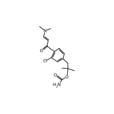 CN(C)C=CC(=O)c1ccc(CC(C)(C)OC(N)=O)cc1Cl